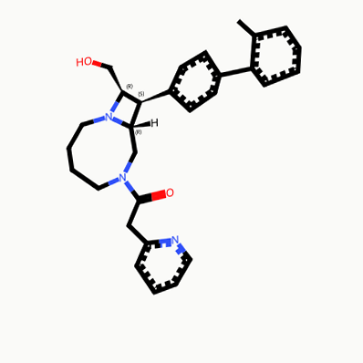 Cc1ccccc1-c1ccc([C@@H]2[C@H](CO)N3CCCCN(C(=O)Cc4ccccn4)C[C@@H]23)cc1